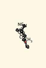 Cc1c(OCCCN2CCCCC2)cccc1-c1cccc(COc2cc(OCc3cncc(C#N)c3)c(CN3CCCC[C@H]3C)cc2Cl)c1Cl